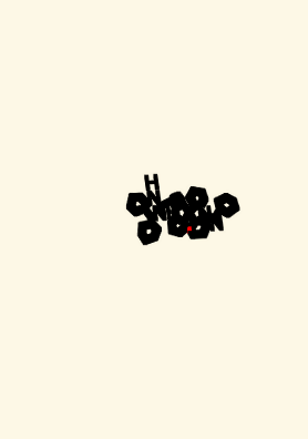 c1ccc(-c2nc3cccc4c3n2-c2ccccc2C42c3ccccc3-c3c(C4Nc5ccccc5C(c5ccccc5)N4)cccc32)cc1